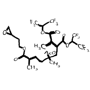 CC(=O)OC(C)(CCC(C)C(=O)OCCC1CO1)CC(C(=O)OC(C(F)(F)F)C(F)(F)F)C(C)C(=O)OC(C(F)(F)F)C(F)(F)F